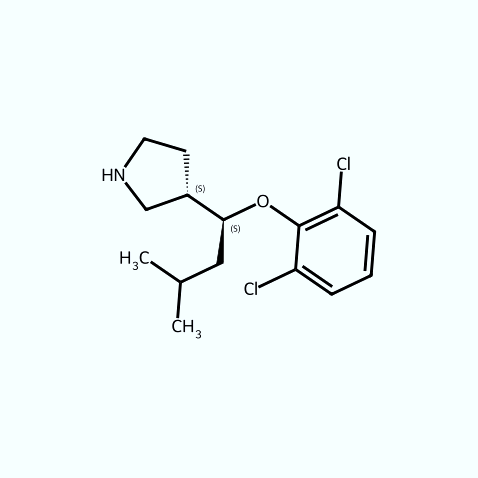 CC(C)C[C@H](Oc1c(Cl)cccc1Cl)[C@H]1CCNC1